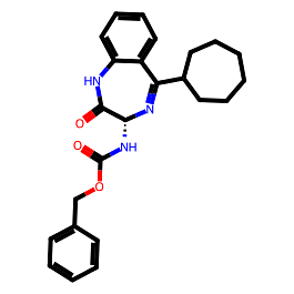 O=C(N[C@H]1N=C(C2CCCCCC2)c2ccccc2NC1=O)OCc1ccccc1